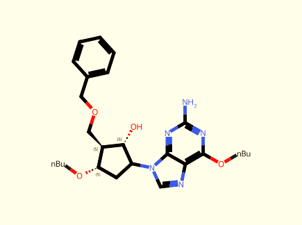 CCCCOc1nc(N)nc2c1ncn2C1C[C@H](OCCCC)[C@@H](COCc2ccccc2)[C@@H]1O